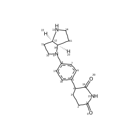 O=C1CCC(c2ccc(N3CC[C@H]4NCC[C@H]43)cc2)C(=O)N1